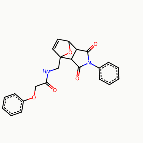 O=C(COc1ccccc1)NCC12C=CC(O1)C1C(=O)N(c3ccccc3)C(=O)C12